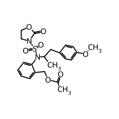 COc1ccc(CC(C)N(c2ccccc2COC(C)=O)S(=O)(=O)N2CCOC2=O)cc1